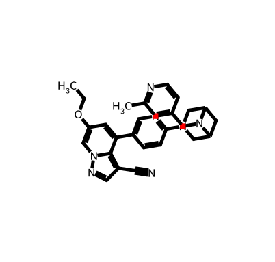 CCOc1cc(-c2ccc(N3CC4CC(C3)N4Cc3ccnc(C)c3)nc2)c2c(C#N)cnn2c1